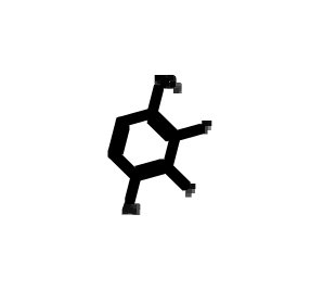 CC(=O)c1ccc([N+](=O)[O-])c(F)c1F